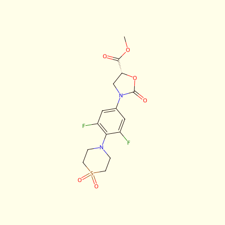 COC(=O)[C@H]1CN(c2cc(F)c(N3CCS(=O)(=O)CC3)c(F)c2)C(=O)O1